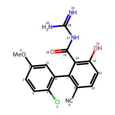 COc1ccc(Cl)c(-c2c(C#N)ccc(O)c2C(=O)NC(=N)N)c1